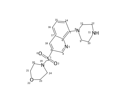 O=S(=O)(c1cnc2c(N3CCNCC3)cccc2c1)N1CCOCC1